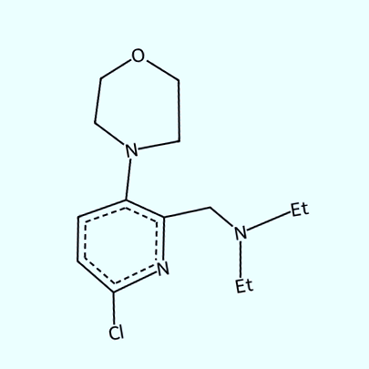 CCN(CC)Cc1nc(Cl)ccc1N1CCOCC1